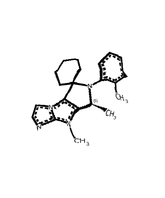 Cc1ccccc1N1[C@@H](C)c2c(n3ccnc3n2C)C12CCCCC2